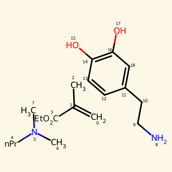 C=C(C)C(=O)OCC.CCCN(C)C.NCCc1ccc(O)c(O)c1